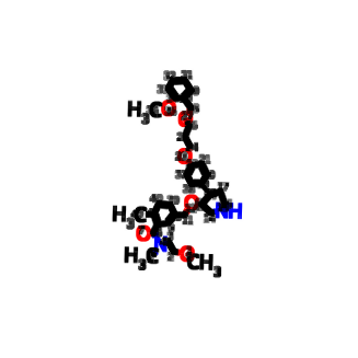 COCCN(C)C(=O)c1cc(CO[C@H]2CNCC[C@@H]2c2ccc(OCCCOCc3ccccc3OC)cc2)ccc1C